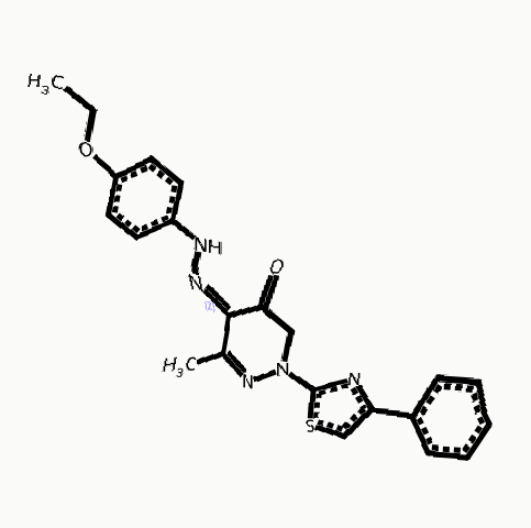 CCOc1ccc(N/N=C2\C(=O)CN(c3nc(-c4ccccc4)cs3)N=C2C)cc1